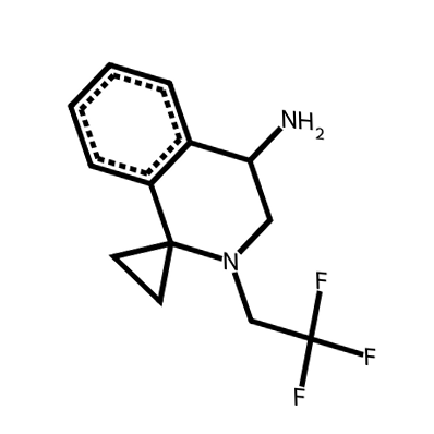 NC1CN(CC(F)(F)F)C2(CC2)c2ccccc21